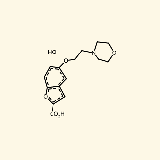 Cl.O=C(O)c1cc2cc(OCCN3CCOCC3)ccc2o1